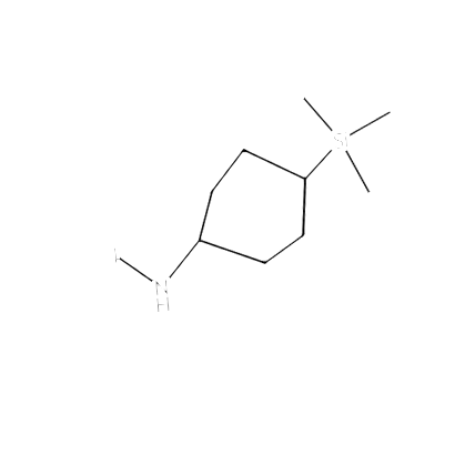 C[Si](C)(C)C1CCC(NI)CC1